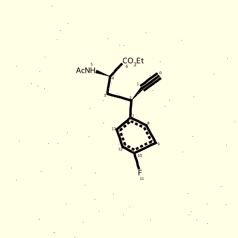 C#C[C@H](C[C@@H](NC(C)=O)C(=O)OCC)c1ccc(F)cc1